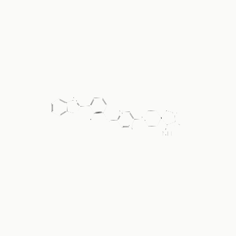 N[C@@H]1[C@H](F)OCC12CCN(c1cnc(Sc3cccc(-c4nc5ccccc5o4)c3Cl)cn1)CC2